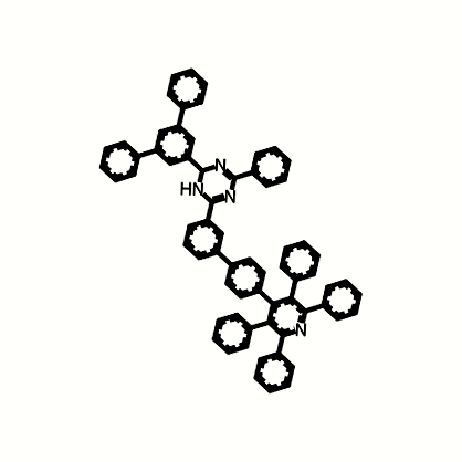 c1ccc(C2=NC(c3cc(-c4ccccc4)cc(-c4ccccc4)c3)NC(c3cccc(-c4ccc(-c5c(-c6ccccc6)c(-c6ccccc6)nc(-c6ccccc6)c5-c5ccccc5)cc4)c3)=N2)cc1